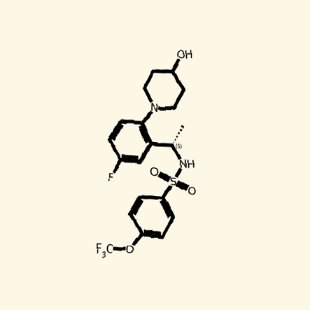 C[C@H](NS(=O)(=O)c1ccc(OC(F)(F)F)cc1)c1cc(F)ccc1N1CCC(O)CC1